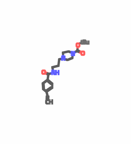 C#Cc1ccc(C(=O)NCCCN2CCN(C(=O)OC(C)(C)C)CC2)cc1